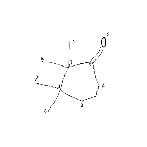 CC1(C)CCC(=O)C1(C)C